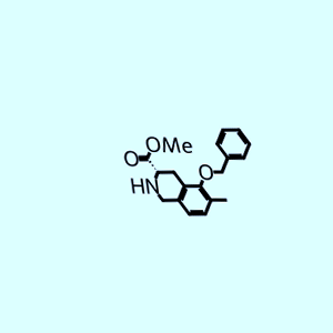 COC(=O)[C@@H]1Cc2c(ccc(C)c2OCc2ccccc2)CN1